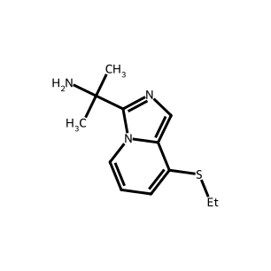 CCSc1cccn2c(C(C)(C)N)ncc12